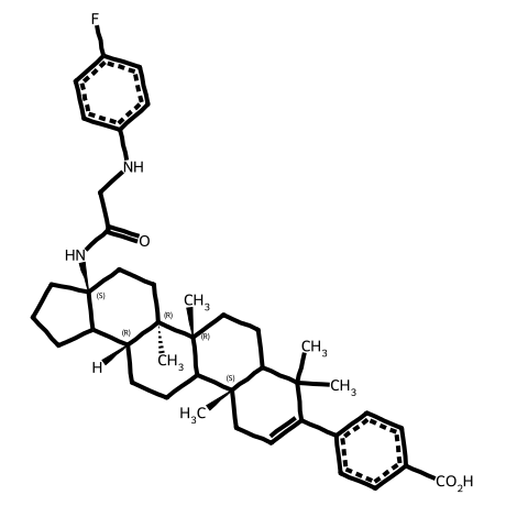 CC1(C)C(c2ccc(C(=O)O)cc2)=CC[C@@]2(C)C1CC[C@]1(C)C2CC[C@@H]2C3CCC[C@]3(NC(=O)CNc3ccc(F)cc3)CC[C@]21C